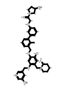 Cc1c(COc2cc(OCc3cncc(C#N)c3)c(CN3CCCCC3C(=O)O)cc2Cl)cccc1-c1cccc(OCC(=O)N2CCC(O)C2)c1